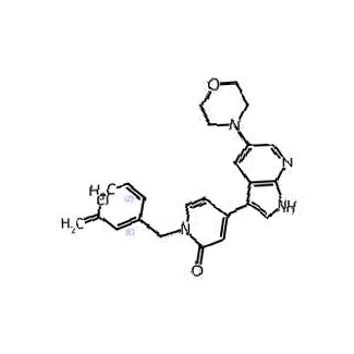 C=C(Cl)/C=C(\C=C/C)Cn1ccc(-c2c[nH]c3ncc(N4CCOCC4)cc23)cc1=O